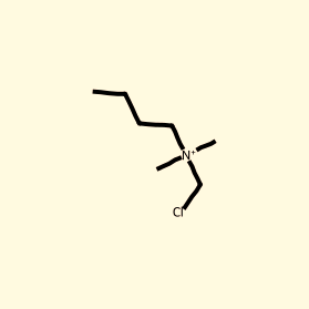 CCCC[N+](C)(C)CCl